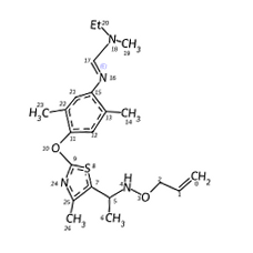 C=CCONC(C)c1sc(Oc2cc(C)c(/N=C/N(C)CC)cc2C)nc1C